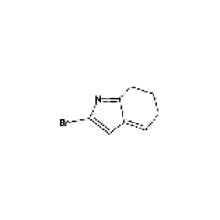 BrC1=CC2=CCCCC2=N1